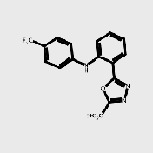 CCOC(=O)c1nnc(-c2ccccc2Nc2ccc(C(F)(F)F)cc2)o1